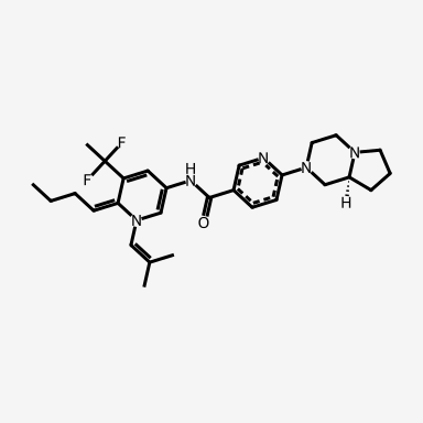 CCC/C=C1\C(C(C)(F)F)=CC(NC(=O)c2ccc(N3CCN4CCC[C@H]4C3)nc2)=CN1C=C(C)C